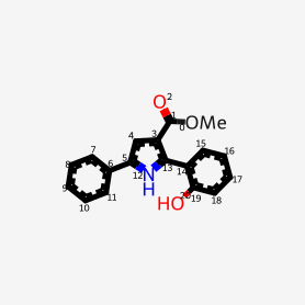 COC(=O)c1cc(-c2ccccc2)[nH]c1-c1ccccc1O